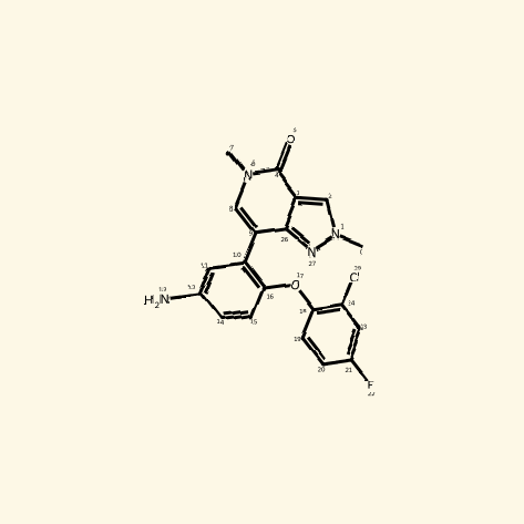 Cn1cc2c(=O)n(C)cc(-c3cc(N)ccc3Oc3ccc(F)cc3Cl)c2n1